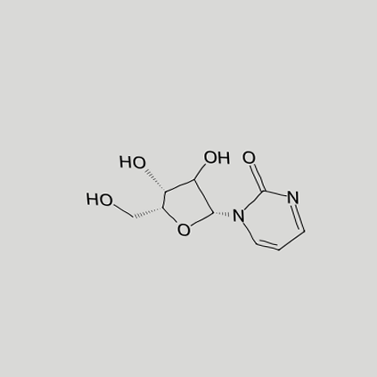 O=c1ncccn1[C@@H]1O[C@H](CO)[C@H](O)C1O